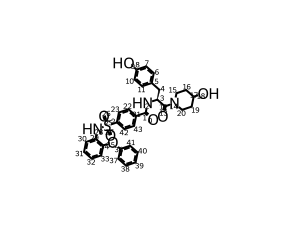 O=C(N[C@@H](Cc1ccc(O)cc1)C(=O)N1CCC(O)CC1)c1ccc(S(=O)(=O)Nc2ccccc2Oc2ccccc2)cc1